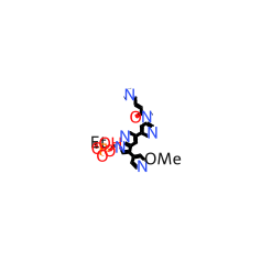 CCOP(=O)(O)OCn1cc(-c2ccnc(OC)c2)c2cc(-c3cncc(N(C)C(=O)C=CCN(C)C)c3)cnc21